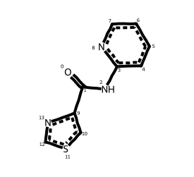 O=C(Nc1ccccn1)c1cscn1